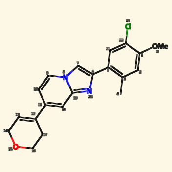 COc1cc(C)c(-c2cn3ccc(C4=CCOCC4)cc3n2)cc1Cl